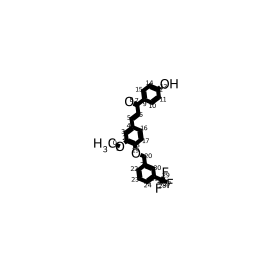 COc1cc(C=CC(=O)c2ccc(O)cc2)ccc1OCc1cccc(C(F)(F)F)c1